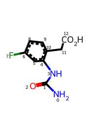 NC(=O)Nc1cc(F)ccc1CC(=O)O